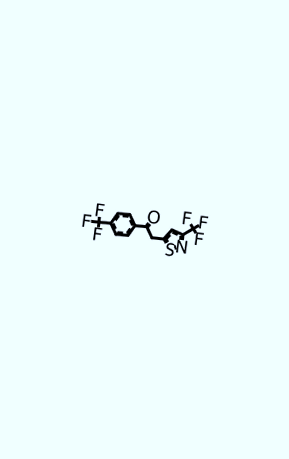 O=C(Cc1cc(C(F)(F)F)ns1)c1ccc(C(F)(F)F)cc1